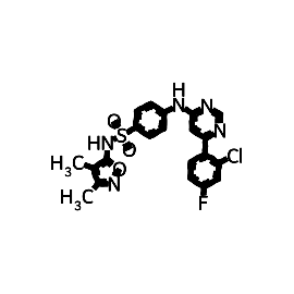 Cc1noc(NS(=O)(=O)c2ccc(Nc3cc(-c4ccc(F)cc4Cl)ncn3)cc2)c1C